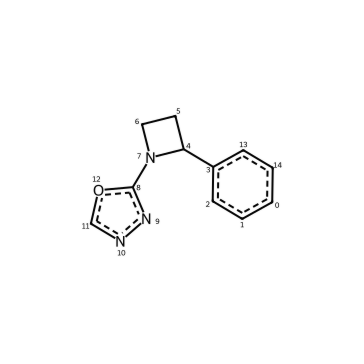 c1ccc(C2CCN2c2nnco2)cc1